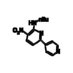 CCCCNc1nc(-c2ccncc2)ccc1[N+](=O)[O-]